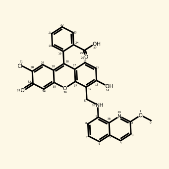 COc1ccc2cccc(NCc3c(O)ccc4c(-c5ccccc5C(=O)O)c5cc(Cl)c(=O)cc-5oc34)c2n1